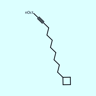 CCCCCCCCC#CCCCCCCCC[C]1CCC1